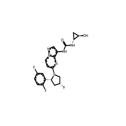 O=C(Nc1cnn2ccc(N3C[C@H](F)C[C@@H]3c3cc(F)ccc3F)nc12)N[C@@H]1C[C@H]1O